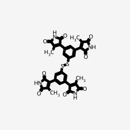 CC1=C(c2cc(SSc3cc(C4=C(C)C(=O)NC4=O)cc(C4=C(C)C(=O)NC4=O)c3)cc(C3=C(C)C(=O)NC3=O)c2)C(=O)NC1=O